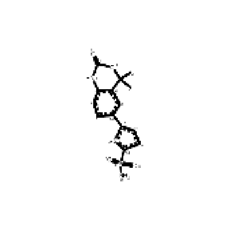 CC1(C)OC(=O)Nc2ccc(-c3ccc(S(N)(=O)=O)s3)cc21